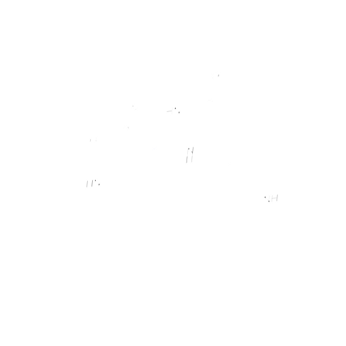 CCCOC(=O)/C(C=N)=C1\NC(=O)C=C(C2CCNCC2)N1